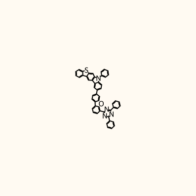 c1ccc(-c2nc(-c3ccccc3)nc(-c3cccc4c3oc3cc(-c5ccc6c(c5)c5cc7c(cc5n6-c5ccccc5)sc5ccccc57)ccc34)n2)cc1